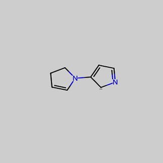 [C]1N=CC=C1N1C=CCC1